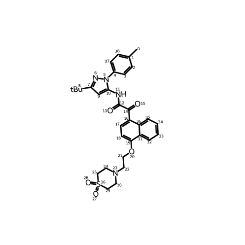 Cc1ccc(-n2nc(C(C)(C)C)cc2NC(=O)C(=O)c2ccc(OCCN3CCS(=O)(=O)CC3)c3ccccc23)cc1